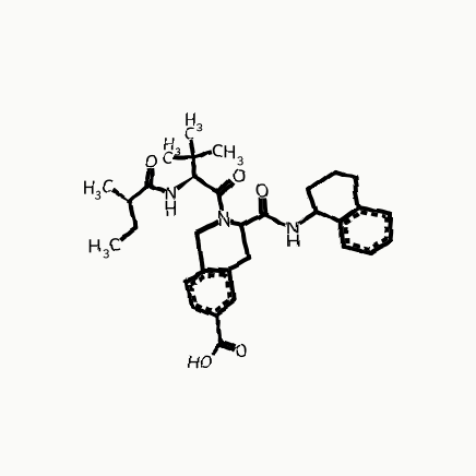 CC[C@@H](C)C(=O)N[C@H](C(=O)N1Cc2ccc(C(=O)O)cc2CC1C(=O)NC1CCCc2ccccc21)C(C)(C)C